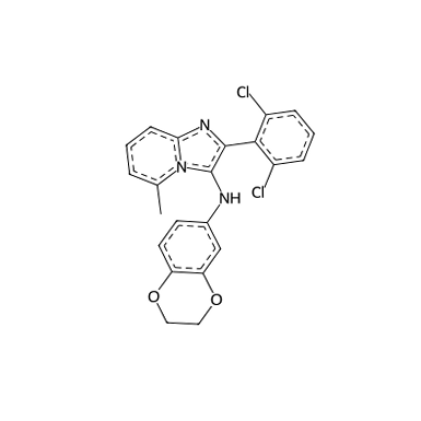 Cc1cccc2nc(-c3c(Cl)cccc3Cl)c(Nc3ccc4c(c3)OCCO4)n12